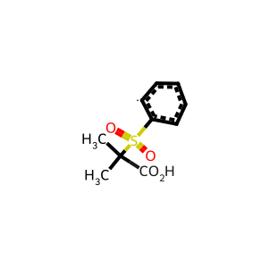 CC(C)(C(=O)O)S(=O)(=O)c1[c]cccc1